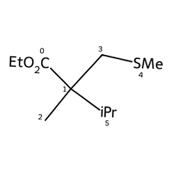 CCOC(=O)C(C)(CSC)C(C)C